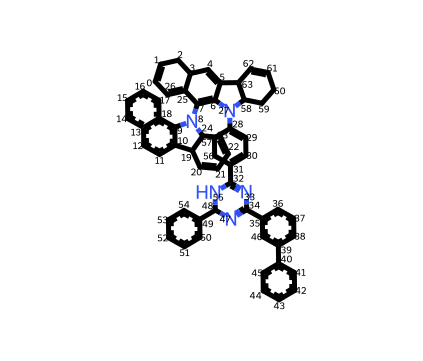 C1=CCC2C=C3C(=C(N4c5c(ccc6ccccc56)C5C=CC=CC54)C2=C1)N(C1=CC=C(C2=NC(c4cccc(-c5ccccc5)c4)=NC(c4ccccc4)N2)CC1)C1CCC=CC31